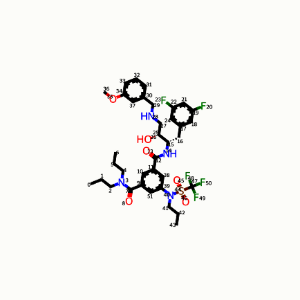 CCCN(CCC)C(=O)c1cc(C(=O)N[C@@H](Cc2cc(F)cc(F)c2)[C@H](O)CNCc2cccc(OC)c2)cc(N(CCC)S(=O)(=O)C(F)(F)F)c1